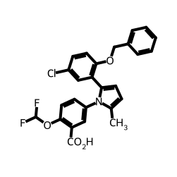 Cc1ccc(-c2cc(Cl)ccc2OCc2ccccc2)n1-c1ccc(OC(F)F)c(C(=O)O)c1